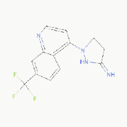 N=C1CCN(c2ccnc3cc(C(F)(F)F)ccc23)N1